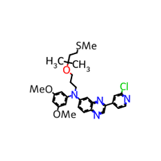 COc1cc(OC)cc(N(CCCOC(C)(C)CCSC)c2ccc3ncc(-c4ccnc(Cl)c4)nc3c2)c1